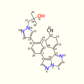 Cc1cc(-c2cnn3ccnc(C4=CCC(C#N)CC4)c23)ccc1-c1cnn(CC(C)(C)O)c1